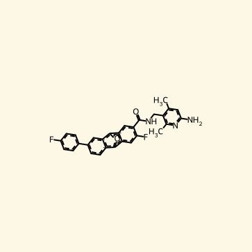 Cc1cc(N)nc(C)c1CNC(=O)c1cc2c(cc1F)c1oc2c2cc(-c3ccc(F)cc3)ccc21